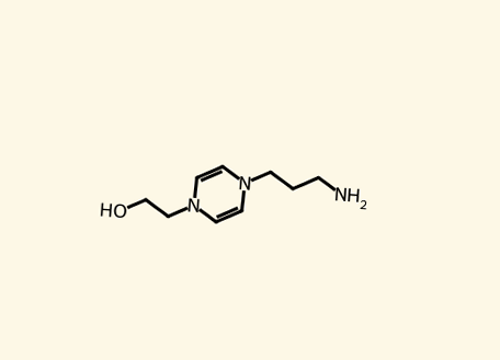 NCCCN1C=CN(CCO)C=C1